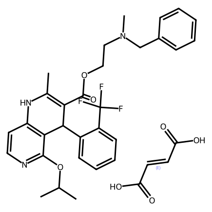 CC1=C(C(=O)OCCN(C)Cc2ccccc2)C(c2ccccc2C(F)(F)F)c2c(ccnc2OC(C)C)N1.O=C(O)/C=C/C(=O)O